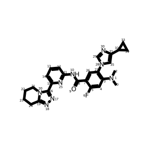 CN(C)c1cc(F)c(C(=O)Nc2cccc(-c3nnc4n3CCCC4)n2)cc1-n1cnc(C2CC2)c1